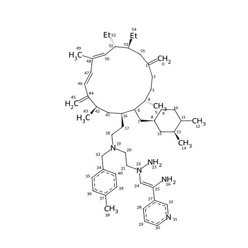 C=C1CC[C@H](C)C(C[C@H]2CCC(C)[C@@H](C)C2)[C@@H](CCN(CCN(N)/C=C(\N)c2cccnc2)Cc2ccc(C)cc2)C[C@@H](C)C(=C)/C=C/C(C)=C/[C@H](CC)[C@@H](CC)C1